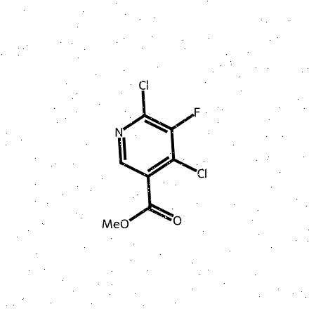 COC(=O)c1cnc(Cl)c(F)c1Cl